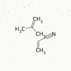 C=C(C)C.C=CC#N